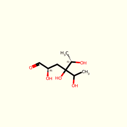 CC(O)C(O)(C[C@@H](O)C=O)[C@H](C)O